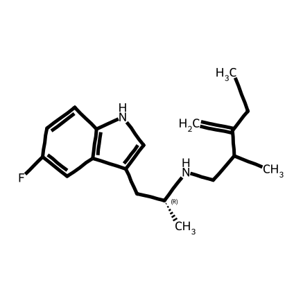 C=C(CC)C(C)CN[C@H](C)Cc1c[nH]c2ccc(F)cc12